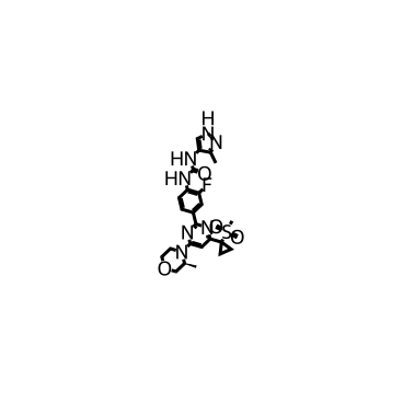 Cc1n[nH]cc1NC(=O)Nc1ccc(-c2nc(N3CCOC[C@@H]3C)cc(C3(S(C)(=O)=O)CC3)n2)cc1F